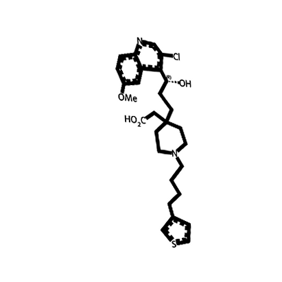 COc1ccc2ncc(Cl)c([C@H](O)CCC3(CC(=O)O)CCN(CCCCc4ccsc4)CC3)c2c1